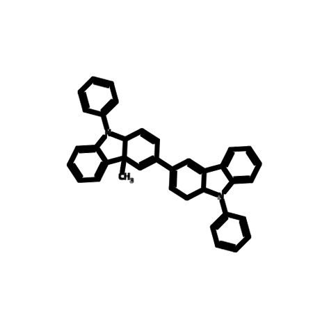 CC12C=C(C3=CCC4C(=C3)c3ccccc3N4c3ccccc3)C=CC1N(c1ccccc1)c1ccccc12